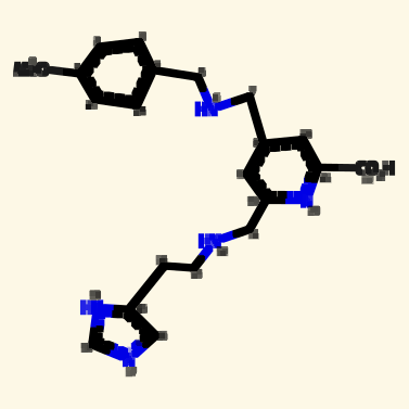 COc1ccc(CNCc2cc(CNCCc3cnc[nH]3)nc(C(=O)O)c2)cc1